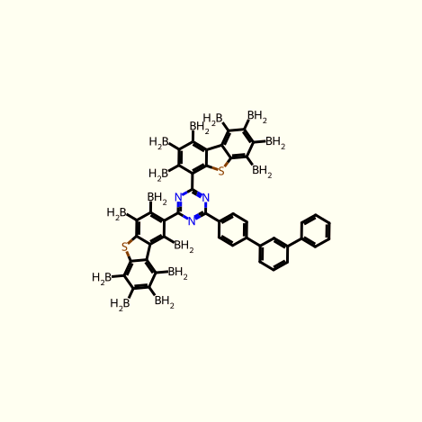 Bc1c(B)c(B)c2c(sc3c(B)c(B)c(-c4nc(-c5ccc(-c6cccc(-c7ccccc7)c6)cc5)nc(-c5c(B)c(B)c(B)c6c5sc5c(B)c(B)c(B)c(B)c56)n4)c(B)c32)c1B